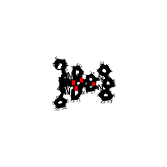 C1=CC(c2ccccc2)NC(c2ccc(-c3ccc(-n4c5ccccc5c5ccc6c7ccccc7n(-c7ccc(-c8ccc(-c9cccc(-c%10ccccc%10)n9)c9ccccc89)cc7)c6c54)cc3)c3ccccc23)=C1